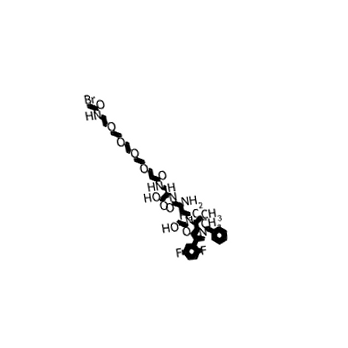 CC(C)(C)C(c1cc(-c2cc(F)ccc2F)cn1Cc1ccccc1)N(CCC(N)C(=O)N[C@H](CNC(=O)CCOCCOCCOCCOCCNC(=O)CBr)C(=O)O)C(=O)CO